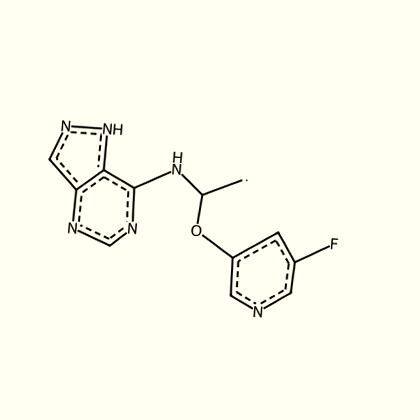 [CH2]C(Nc1ncnc2cn[nH]c12)Oc1cncc(F)c1